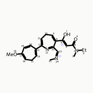 CCN(C)C(=O)/C=C(\O)C1=CCC=C(C2=CCC=C(OC)C=C2)N=C1/C=N\C